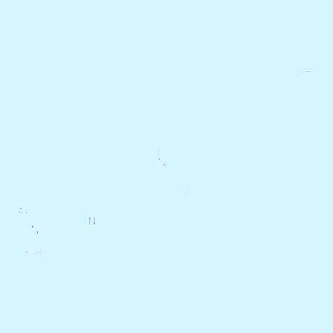 CC(=O)N(C)C1CCN(c2ccc(NC(=O)c3ccc(-c4ccc(C(F)(F)F)cc4)cc3)cc2)C1